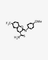 COc1ccc(/N=c2\oc3ccc(C(F)(F)F)cc3cc2C(N)=S)cc1